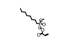 C=CC(=O)OOP(=O)(CCCCCCCC)OC